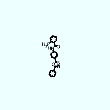 O=C(Nc1ccc(-c2nnc(-c3ccccc3)o2)cc1)c1ccccc1P